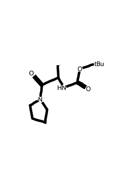 [CH2]C(NC(=O)OC(C)(C)C)C(=O)N1CCCC1